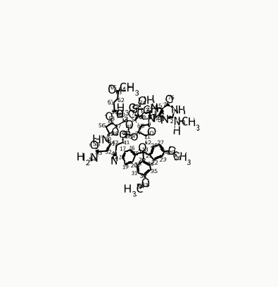 CNc1nc2c(ncn2[C@@H]2O[C@H](COC(c3ccccc3)(c3ccc(OC)cc3)c3ccc(OC)cc3)C(OP(OCCC#N)OC[C@H]3O[C@@H](N/C=C\C(N)=O)C[C@H]3OC(=O)CCC(C)=O)[C@@H]2CC(C)(C)[Si](C)(C)O)c(=O)[nH]1